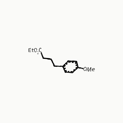 CCOC(=O)CCCc1ccc(OC)cc1